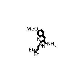 CCN(CC)CCn1nc(N)c2cc3ccc(OC)cc3nc21